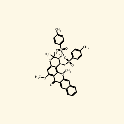 COc1cc2c(c3c1c(=O)c1cc4ccccc4cc1n3C)[C@H](OS(=O)(=O)c1ccc(C)cc1)[C@H](OS(=O)(=O)c1ccc(C)cc1)C(C)(C)O2